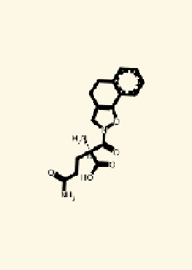 NC(=O)CC[C@](N)(C(=O)O)C(=O)N1CC2=C(O1)c1ccccc1CC2